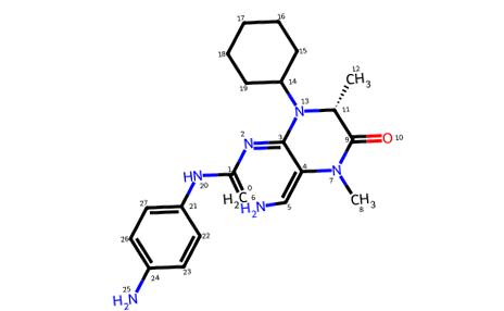 C=C(/N=C1\C(=C/N)N(C)C(=O)[C@@H](C)N1C1CCCCC1)Nc1ccc(N)cc1